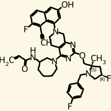 C#Cc1c(F)ccc2cc(O)cc(N3CCc4c(nc(OC[C@]5(C)C[C@@H](F)CN5Cc5ccc(F)cc5)nc4N4CCCCC(NC(=O)C=C)C4)C3)c12